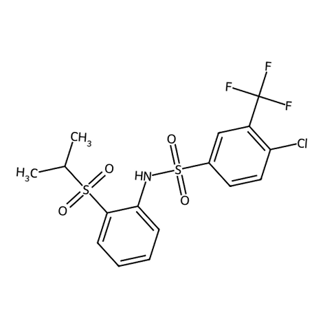 CC(C)S(=O)(=O)c1ccccc1NS(=O)(=O)c1ccc(Cl)c(C(F)(F)F)c1